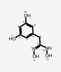 ON=C(Cc1cc(O)cc(O)c1)NO